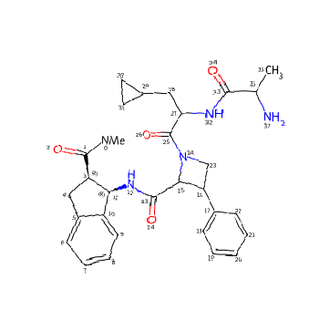 CNC(=O)[C@@H]1Cc2ccccc2[C@@H]1NC(=O)C1C(c2ccccc2)CN1C(=O)C(CC1CC1)NC(=O)C(C)N